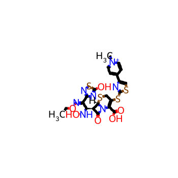 CCO/N=C(/c1nsc(O)n1)C(NO)[C@@H]1C(=O)N2C(C(=O)O)=C(Sc3nc(-c4cc[n+](C)cc4)cs3)CS[C@H]12